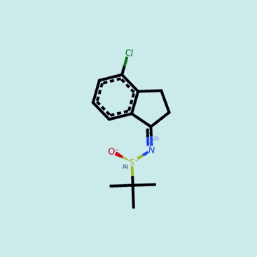 CC(C)(C)[S@@+]([O-])/N=C1/CCc2c(Cl)cccc21